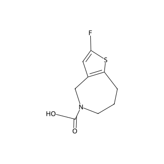 O=C(O)N1CCCc2sc(F)cc2C1